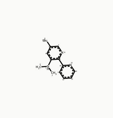 C[SiH](C)c1cc(C(C)(C)C)cnc1-c1ccccn1